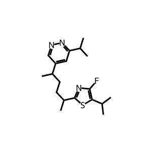 CC(C)c1cc(C(C)CCC(C)c2nc(F)c(C(C)C)s2)cnn1